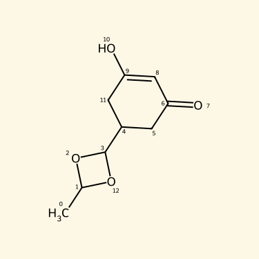 CC1OC(C2CC(=O)C=C(O)C2)O1